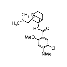 CNc1cc(OC)c(C(=O)NC2C3CCN(CC3)C2CN(C)C)cc1Cl